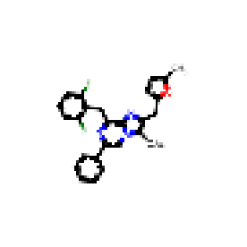 CC(=O)Oc1c(Cc2ccc(C)o2)nc2c(Cc3c(F)cccc3F)nc(-c3ccccc3)cn12